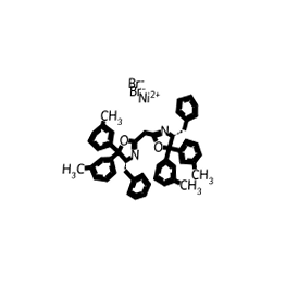 Cc1cccc(C2(c3cccc(C)c3)OC(CC3=N[C@H](Cc4ccccc4)C(c4cccc(C)c4)(c4cccc(C)c4)O3)=N[C@@H]2Cc2ccccc2)c1.[Br-].[Br-].[Ni+2]